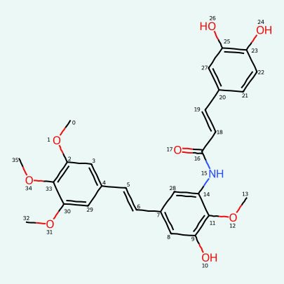 COc1cc(C=Cc2cc(O)c(OC)c(NC(=O)/C=C/c3ccc(O)c(O)c3)c2)cc(OC)c1OC